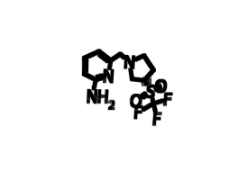 Nc1cccc(CN2CC[C@@H](S(=O)(=O)C(F)(F)F)C2)n1